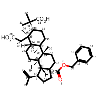 C=C(C)[C@@H]1CC[C@]2(C(=O)OCc3ccccc3)CC[C@]3(C)[C@H](CC[C@@H]4[C@@](C)(CC(=O)O)[C@H](C(C)(C)C(=O)O)CC[C@]43C)[C@@H]12